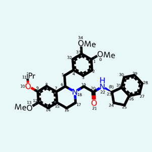 COc1ccc(CC2c3cc(OC(C)C)c(OC)cc3CCN2CC(=O)N[C@@H]2CCc3ccccc32)cc1OC